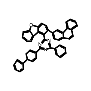 C1=CC(c2ccccc2)CC=C1c1nc(-c2ccccc2)nc(-c2c(-c3ccc4ccc5ccccc5c4c3)ccc3oc4ccccc4c23)n1